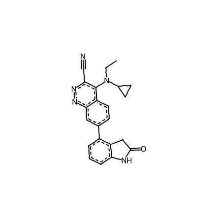 CCN(c1c(C#N)nnc2cc(-c3cccc4c3CC(=O)N4)ccc12)C1CC1